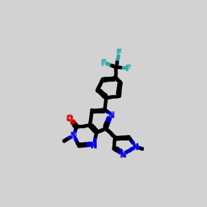 Cn1cc(-c2nc(-c3ccc(C(F)(F)F)cc3)cc3c(=O)n(C)cnc23)cn1